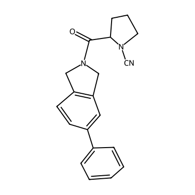 N#CN1CCCC1C(=O)N1Cc2ccc(-c3ccccc3)cc2C1